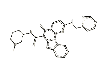 CN1CCCC(NC(=O)c2c(=O)c3ccc(NCc4ccccn4)nc3n3c2sc2ccccc23)C1